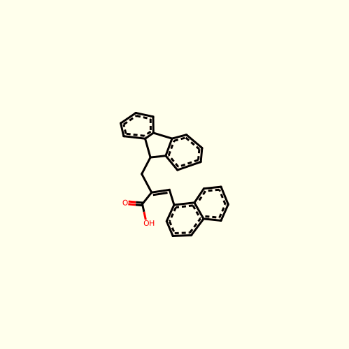 O=C(O)C(=Cc1cccc2ccccc12)CC1c2ccccc2-c2ccccc21